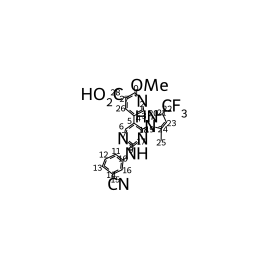 COc1ncc(-c2cnc(Nc3cccc(C#N)c3)nc2N2NC(C(F)(F)F)C=C2C)cc1C(=O)O